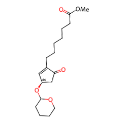 COC(=O)CCCCCCC1=C[C@H](OC2CCCCO2)CC1=O